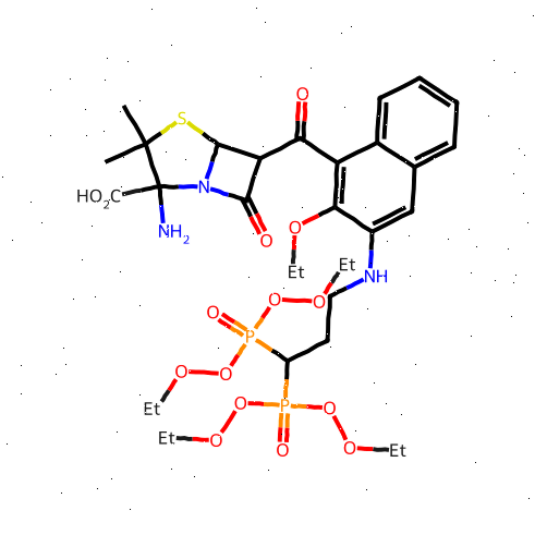 CCOOP(=O)(OOCC)C(CCNc1cc2ccccc2c(C(=O)C2C(=O)N3C2SC(C)(C)C3(N)C(=O)O)c1OCC)P(=O)(OOCC)OOCC